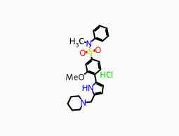 COc1cc(S(=O)(=O)N(C)c2ccccc2)ccc1-c1ccc(CN2CCCCC2)[nH]1.Cl